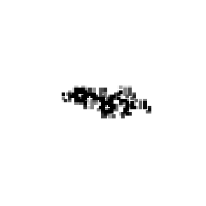 CN(C)CCN(C)Cc1ccccc1C(=O)C=Cc1ccc(Cl)cc1Cl